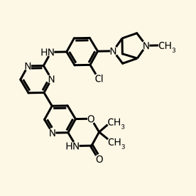 CN1CC2CC1CN2c1ccc(Nc2nccc(-c3cnc4c(c3)OC(C)(C)C(=O)N4)n2)cc1Cl